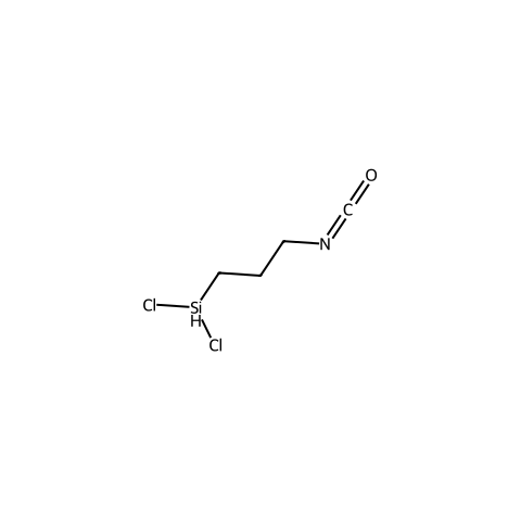 O=C=NCCC[SiH](Cl)Cl